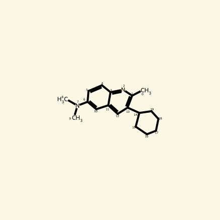 Cc1nc2ccc(N(C)C)cc2cc1C1CCCCC1